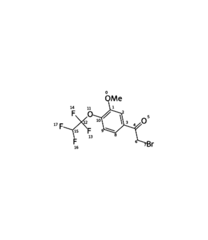 COc1cc(C(=O)CBr)ccc1OC(F)(F)C(F)F